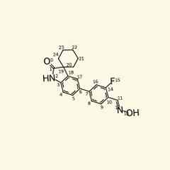 O=C1Nc2ccc(-c3ccc(C=NO)c(F)c3)cc2C12CCCCC2